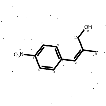 C/C(=C/c1ccc([N+](=O)[O-])cc1)CO